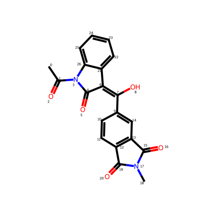 CC(=O)N1C(=O)C(=C(O)c2ccc3c(c2)C(=O)N(C)C3=O)c2ccccc21